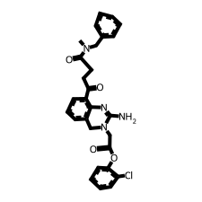 CN(Cc1ccccc1)C(=O)CCC(=O)c1cccc2c1N=C(N)N(CC(=O)Oc1ccccc1Cl)C2